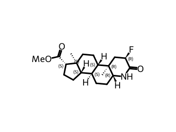 COC(=O)[C@H]1CC[C@H]2[C@@H]3CC[C@H]4NC(=O)[C@H](F)C[C@]4(C)[C@H]3CC[C@]12C